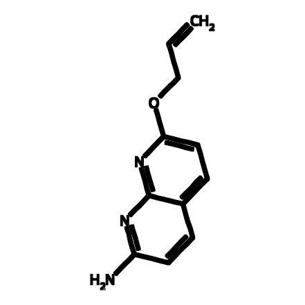 C=CCOc1ccc2ccc(N)nc2n1